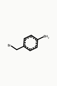 Bc1ccc(CBr)cc1